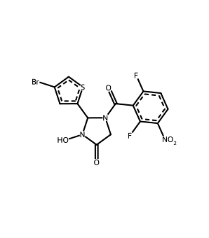 O=C1CN(C(=O)c2c(F)ccc([N+](=O)[O-])c2F)C(c2cc(Br)cs2)N1O